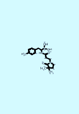 Cc1ccc(CC(NC(=O)CCN2CCC(C)(C)C2=O)B(O)O)cc1